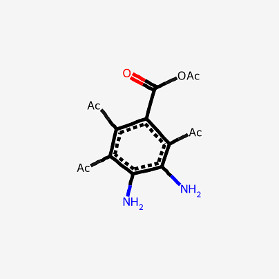 CC(=O)OC(=O)c1c(C(C)=O)c(N)c(N)c(C(C)=O)c1C(C)=O